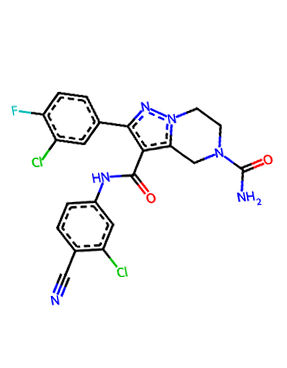 N#Cc1ccc(NC(=O)c2c(-c3ccc(F)c(Cl)c3)nn3c2CN(C(N)=O)CC3)cc1Cl